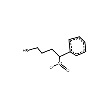 O=[N+]([O-])C(CCCS)c1ccccc1